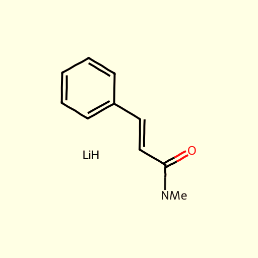 CNC(=O)/C=C/c1ccccc1.[LiH]